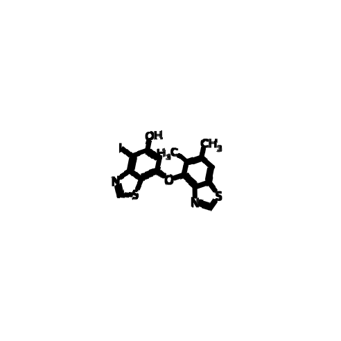 Cc1cc2scnc2c(Oc2cc(O)c(I)c3ncsc23)c1C